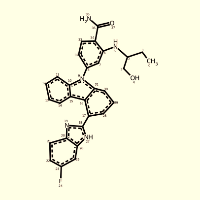 CCC(CO)Nc1cc(-n2c3ccccc3c3c(-c4nc5ccc(F)cc5[nH]4)cccc32)ccc1C(N)=O